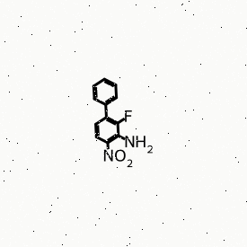 Nc1c([N+](=O)[O-])ccc(-c2ccccc2)c1F